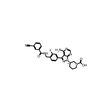 N#Cc1cccc(C(=O)NCc2ccc(-c3nn([C@@H]4CCCN(C(=O)O)C4)c4ncnc(N)c34)cc2F)c1